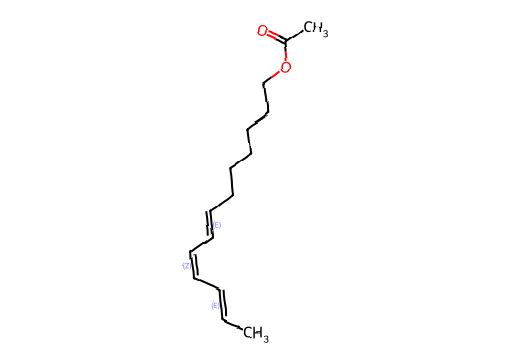 C/C=C/C=C\C=C\CCCCCCOC(C)=O